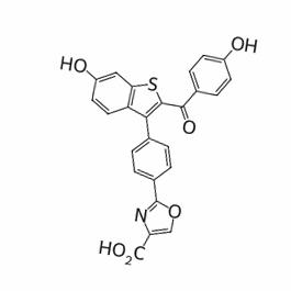 O=C(O)c1coc(-c2ccc(-c3c(C(=O)c4ccc(O)cc4)sc4cc(O)ccc34)cc2)n1